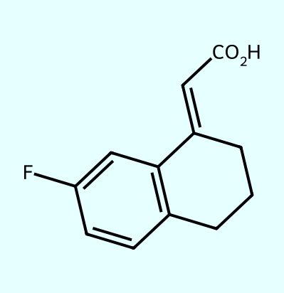 O=C(O)C=C1CCCc2ccc(F)cc21